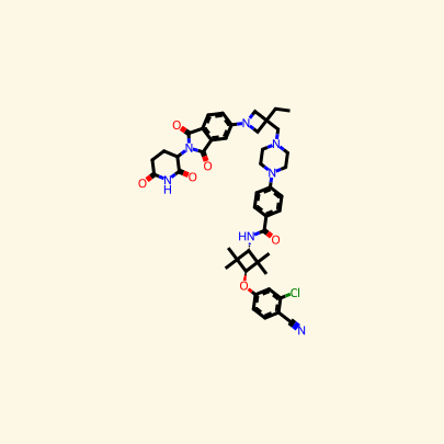 CCC1(CN2CCN(c3ccc(C(=O)N[C@H]4C(C)(C)[C@H](Oc5ccc(C#N)c(Cl)c5)C4(C)C)cc3)CC2)CN(c2ccc3c(c2)C(=O)N(C2CCC(=O)NC2=O)C3=O)C1